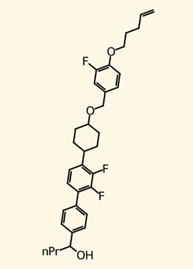 C=CCCCOc1ccc(COC2CCC(c3ccc(-c4ccc(C(O)CCC)cc4)c(F)c3F)CC2)cc1F